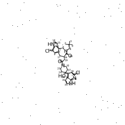 CC(C)(C)CN1Cc2c(cc(Cl)c3[nH]ccc23)CC(CC(=O)N2CCC(O)(c3cc(Cl)nc4[nH]ccc34)CC2)C1=O